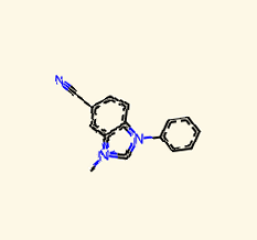 C[n+]1cn(-c2ccccc2)c2ccc(C#N)cc21